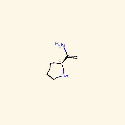 C=C(N)[C@@H]1CCCN1